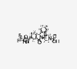 O=C(O)N1CC[C@@H](N2Cc3ccc(-c4nnc(C(F)F)o4)cc3C2=O)[C@@H](c2ccccc2)C1